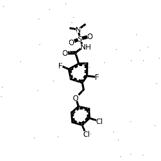 CN(C)S(=O)(=O)NC(=O)c1cc(F)c(COc2ccc(Cl)c(Cl)c2)cc1F